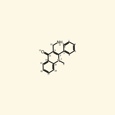 Cn1c(-c2ccccc2)c(CN)c(=O)c2ccccc21